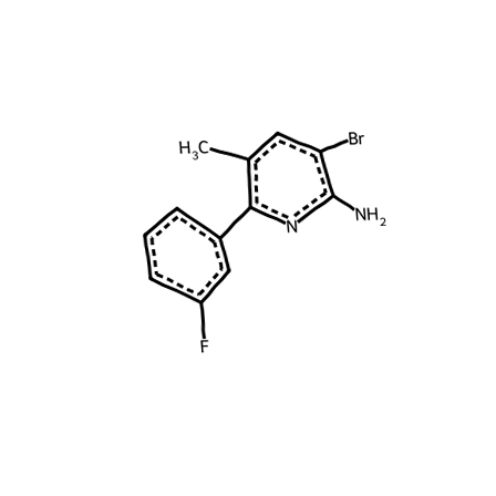 Cc1cc(Br)c(N)nc1-c1cccc(F)c1